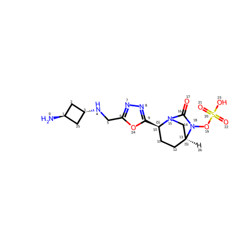 N[C@H]1C[C@H](NCc2nnc([C@@H]3CC[C@H]4CN3C(=O)N4OS(=O)(=O)O)o2)C1